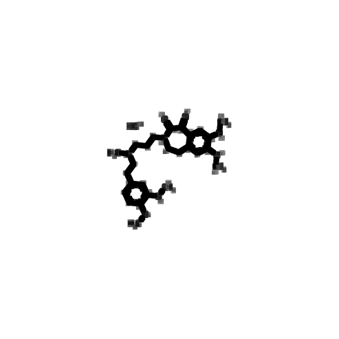 COc1ccc(CCN(C)CCCN2CCc3cc(OC)c(OC)cc3C(=O)C2=O)cc1OC.Cl